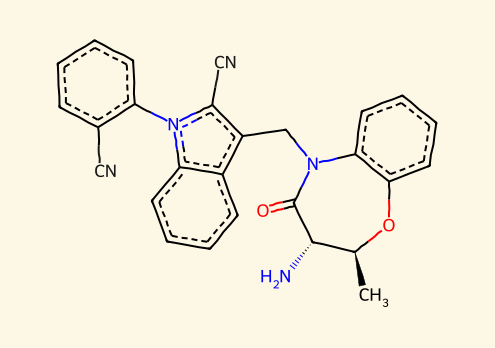 C[C@@H]1Oc2ccccc2N(Cc2c(C#N)n(-c3ccccc3C#N)c3ccccc23)C(=O)[C@H]1N